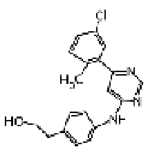 Cc1ccc(Cl)cc1-c1cc(Nc2ccc(CCO)cc2)ncn1